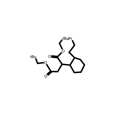 CC(C)CCC1CCCCC1C(CC(=O)OCC(C)(C)C)C(=O)OCC(C)(C)C